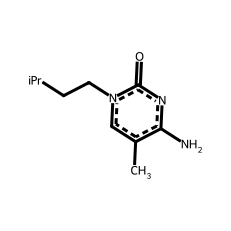 Cc1cn(CCC(C)C)c(=O)nc1N